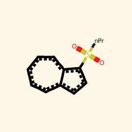 CCCS(=O)(=O)c1ccc2cccccc1-2